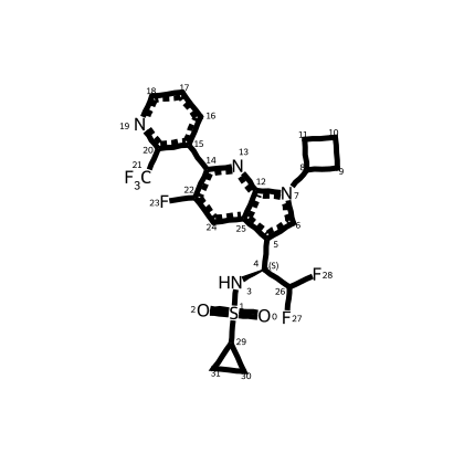 O=S(=O)(N[C@@H](c1cn(C2CCC2)c2nc(-c3cccnc3C(F)(F)F)c(F)cc12)C(F)F)C1CC1